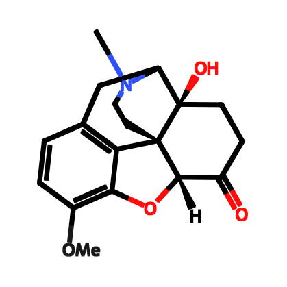 COc1ccc2c3c1O[C@H]1C(=O)CC[C@@]4(O)C(C2)N(C)CC[C@]314